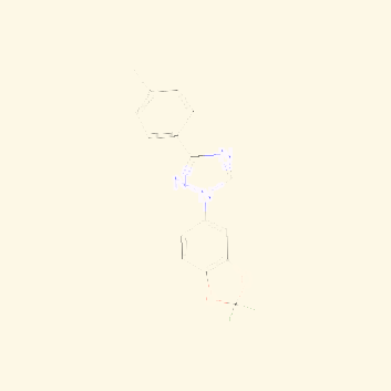 Cc1ccc(-c2ncn(-c3ccc4c(c3)OC(F)(F)O4)n2)cc1